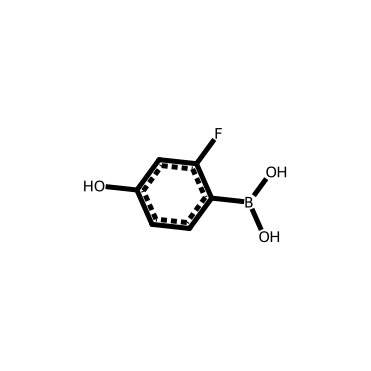 OB(O)c1ccc(O)cc1F